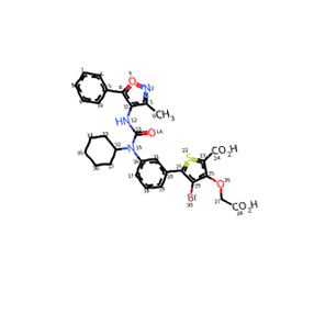 Cc1noc(-c2ccccc2)c1NC(=O)N(c1cccc(-c2sc(C(=O)O)c(OCC(=O)O)c2Br)c1)C1CCCCC1